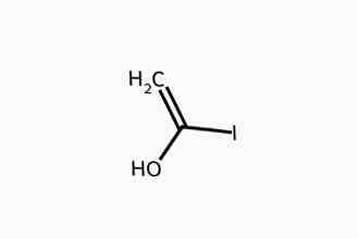 C=C(O)I